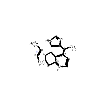 CC(c1c[nH]cn1)c1ccnc2c1CCCC2.O=C(O)/C=C/C(=O)O